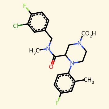 Cc1cc(F)ccc1N1CCN(C(=O)O)CC1C(=O)N(C)Cc1ccc(F)c(Cl)c1